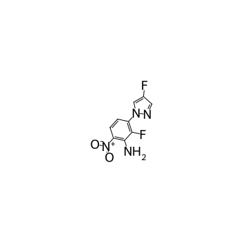 Nc1c([N+](=O)[O-])ccc(-n2cc(F)cn2)c1F